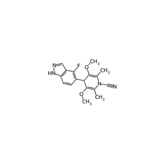 COC1=C(C)N(C#N)C(C)=C(OC)C1c1ccc2[nH]ncc2c1F